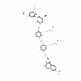 CC(=O)Nc1cc(S(=O)(=O)O)c2nc3c(C#N)c(C)c(N=Nc4cc(C)c(N=Nc5cc(N)c(N=Nc6nc7c(S(=O)(=O)O)cc8cc(S(=O)(=O)O)ccc8c7s6)cc5SCCCS(=O)(=O)O)cc4OCCCS(=O)(=O)O)c(O)n3c2c1